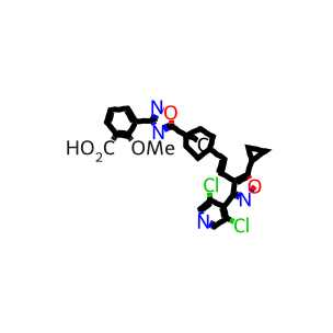 COc1c(C(=O)O)cccc1-c1noc(C23CCC(/C=C/c4c(-c5c(Cl)cncc5Cl)noc4C4CC4)(CC2)CC3)n1